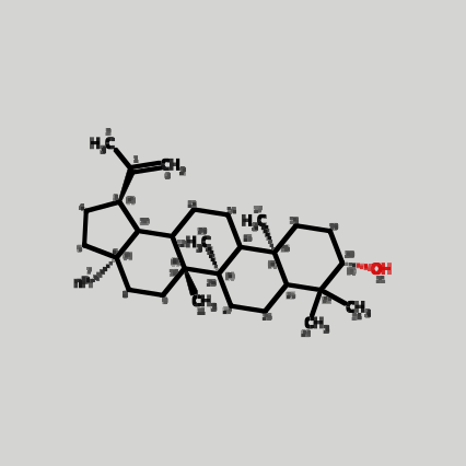 C=C(C)[C@@H]1CC[C@]2(CCC)CC[C@]3(C)C(CCC4[C@@]5(C)CC[C@H](O)C(C)(C)C5CC[C@]43C)C12